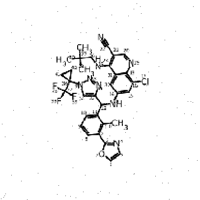 Cc1c(-c2ncco2)cccc1C(Nc1cc(Cl)c2ncc(C#N)c(NCC(C)(C)C)c2c1)c1cn(C2(C(F)(F)F)CC2)nn1